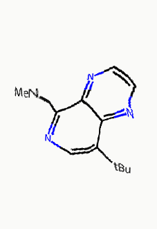 CNc1ncc(C(C)(C)C)c2nccnc12